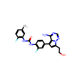 Nc1ncnn2c(CCO)cc(-c3ccc(NC(=O)Nc4cc(C(F)(F)F)ccc4F)c(F)c3)c12